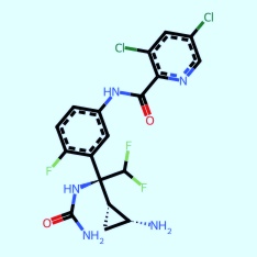 NC(=O)N[C@@](c1cc(NC(=O)c2ncc(Cl)cc2Cl)ccc1F)(C(F)F)[C@H]1C[C@H]1N